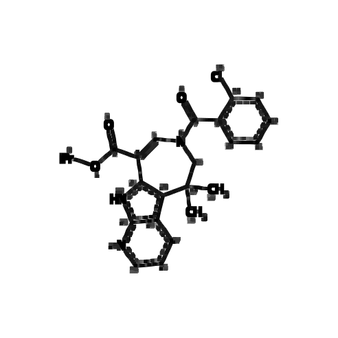 CC(C)OC(=O)C1=CN(C(=O)c2ccccc2Cl)CC(C)(C)c2c1[nH]c1ncccc21